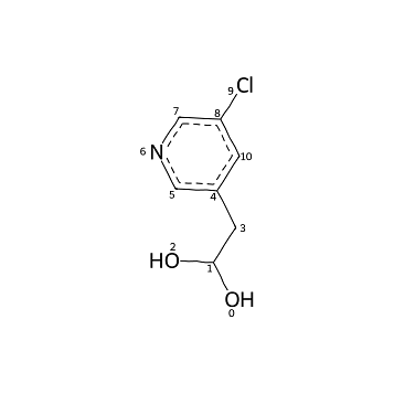 OC(O)Cc1cncc(Cl)c1